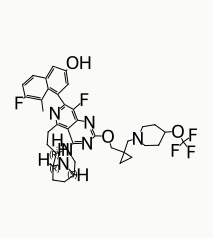 Cc1c(F)ccc2cc(O)cc(-c3nc4c5c(nc(OCC6(CN7CCC(OC(F)(F)F)CC7)CC6)nc5c3F)N3C[C@@H]5CC[C@@H](N5)[C@H]3CC4)c12